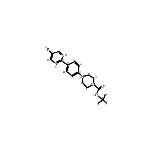 CC(C)(C)OC(=O)N1CCN(c2ccc(-c3ncc(F)cn3)cc2)CC1